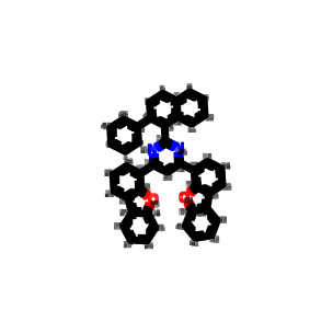 c1ccc(-c2ccc3ccccc3c2-c2nc(-c3cccc4c3oc3ccccc34)cc(-c3cccc4c3oc3ccccc34)n2)cc1